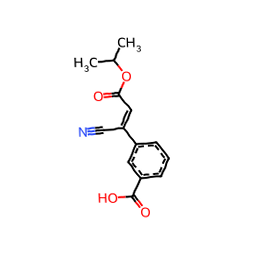 CC(C)OC(=O)C=C(C#N)c1cccc(C(=O)O)c1